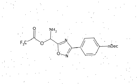 CCCCCCCCCCc1ccc(-c2noc(C(N)OC(=O)C(F)(F)F)n2)cc1